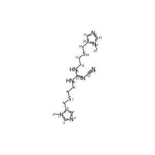 Cn1cncc1CSCCNC(=NC#N)NCCSCc1cncn1C